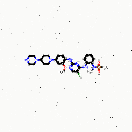 COc1cc(N2CCC(N3CCNCC3)CC2)ccc1Nc1ncc(Cl)c(Nc2ccccc2N(C)S(C)(=O)=O)n1